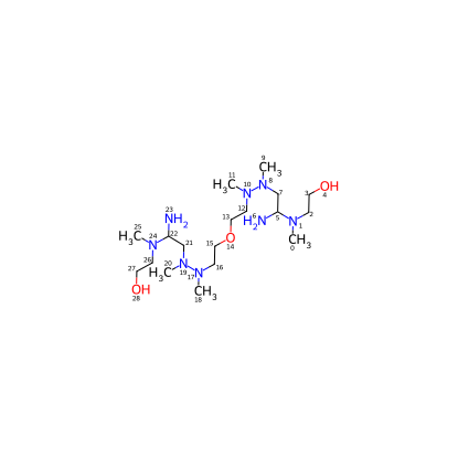 CN(CCO)C(N)CN(C)N(C)CCOCCN(C)N(C)CC(N)N(C)CCO